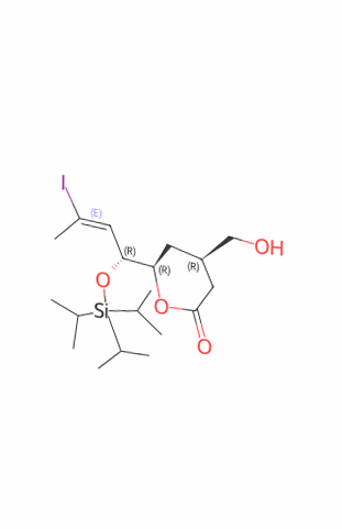 C/C(I)=C\[C@@H](O[Si](C(C)C)(C(C)C)C(C)C)[C@H]1C[C@@H](CO)CC(=O)O1